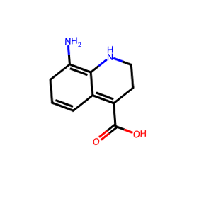 NC1=C2NCCC(C(=O)O)=C2C=CC1